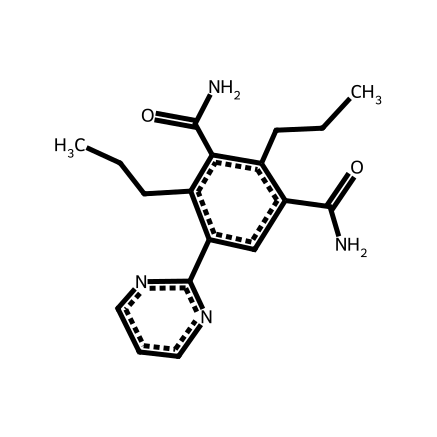 CCCc1c(C(N)=O)cc(-c2ncccn2)c(CCC)c1C(N)=O